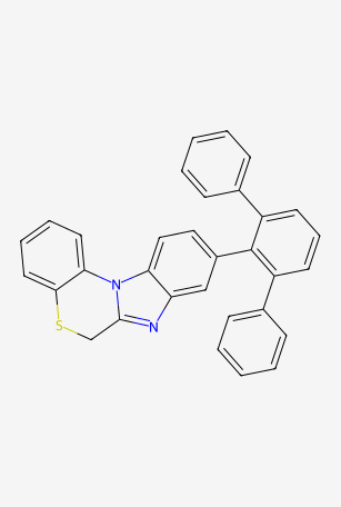 c1ccc(-c2cccc(-c3ccccc3)c2-c2ccc3c(c2)nc2n3-c3ccccc3SC2)cc1